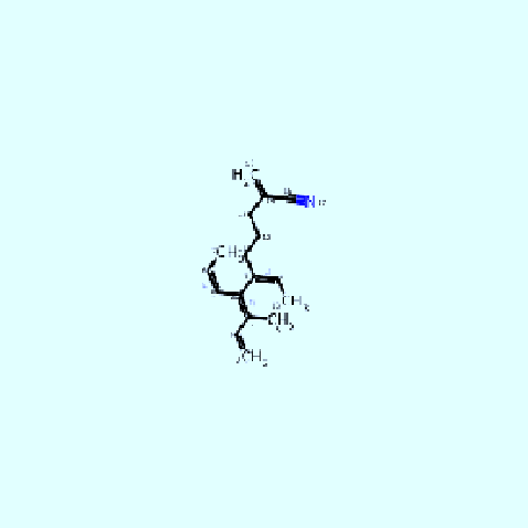 C=C/C(C)=C(\C=C/C)C(=C\C)/CCCC(=C)C#N